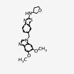 COc1cc2ncn(Cc3ccc4nc(NC5CCOC5)sc4c3)c2cc1OC